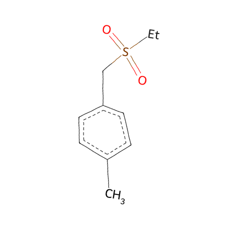 CCS(=O)(=O)Cc1ccc(C)cc1